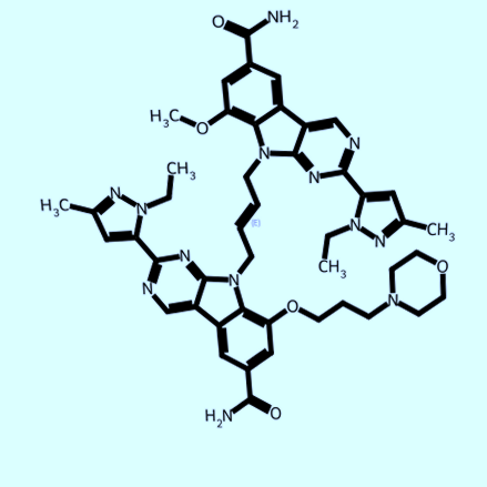 CCn1nc(C)cc1-c1ncc2c3cc(C(N)=O)cc(OC)c3n(C/C=C/Cn3c4nc(-c5cc(C)nn5CC)ncc4c4cc(C(N)=O)cc(OCCCN5CCOCC5)c43)c2n1